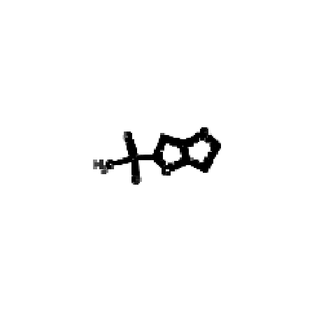 CS(=O)(=O)c1cc2occc2o1